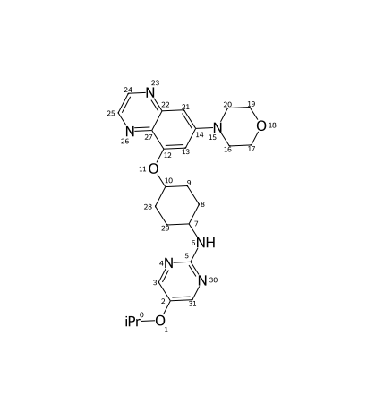 CC(C)Oc1cnc(NC2CCC(Oc3cc(N4CCOCC4)cc4nccnc34)CC2)nc1